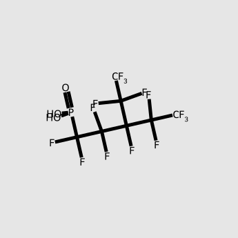 O=P(O)(O)C(F)(F)C(F)(F)C(F)(C(F)(F)C(F)(F)F)C(F)(F)C(F)(F)F